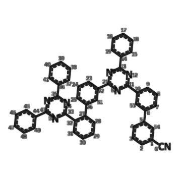 N#Cc1cccc(-c2cccc(-c3nc(-c4ccccc4)nc(-c4cccc(-c5ccccc5-c5nc(-c6ccccc6)nc(-c6ccccc6)n5)c4)n3)c2)c1